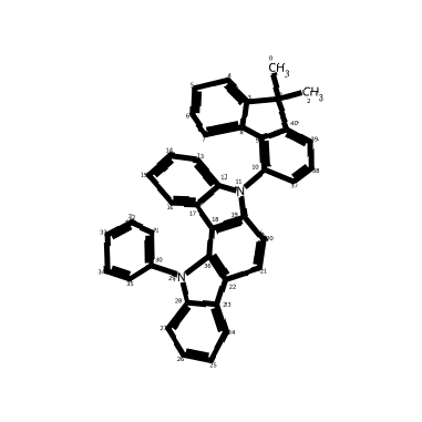 CC1(C)c2ccccc2-c2c(-n3c4ccccc4c4c3ccc3c5ccccc5n(-c5ccccc5)c34)cccc21